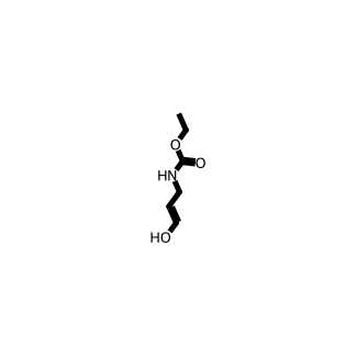 CCOC(=O)NCC=CO